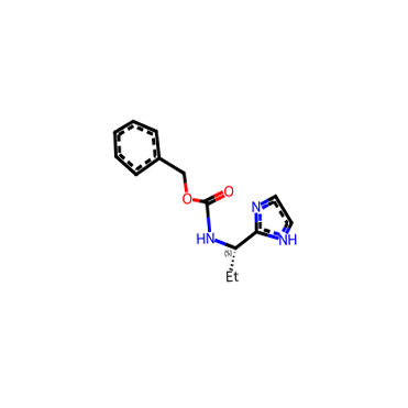 CC[C@H](NC(=O)OCc1ccccc1)c1ncc[nH]1